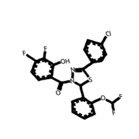 O=C(c1ccc(F)c(F)c1O)N1N=C(c2ccc(Cl)cc2)SC1c1ccccc1OC(F)F